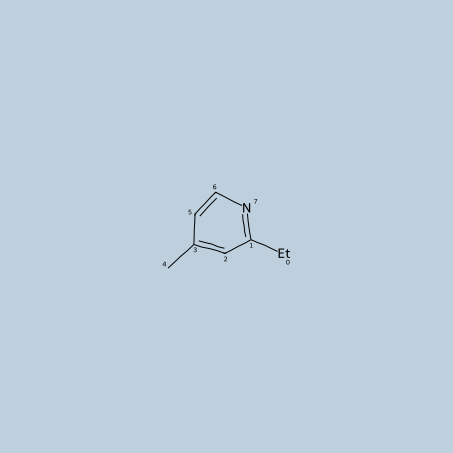 CCc1cc(C)ccn1